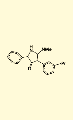 CNC1NC(c2ccccc2)C(=O)C1c1cccc(C(C)C)c1